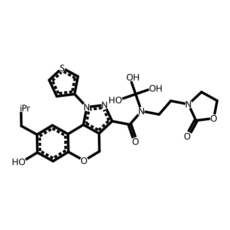 CC(C)Cc1cc2c(cc1O)OCc1c(C(=O)N(CCN3CCOC3=O)C(O)(O)O)nn(-c3ccsc3)c1-2